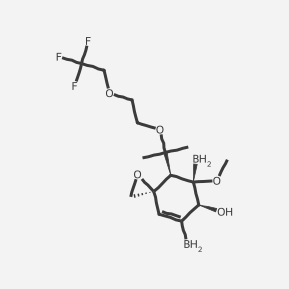 BC1=C[C@]2(CO2)[C@@H](C(C)(C)OCCOCC(F)(F)F)[C@](B)(OC)[C@H]1O